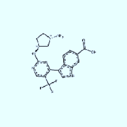 N[C@H]1CC[C@H](Nc2ncc(C(F)(F)F)c(-c3c[nH]c4cc(C(=O)O)ccc34)n2)C1